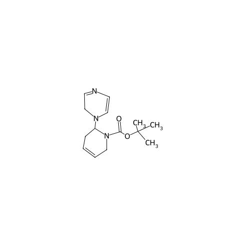 CC(C)(C)OC(=O)N1CC=CCC1N1C=CN=CC1